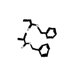 C=C(C)C(=O)OCc1ccccc1.C=CC(=O)OCc1ccccc1